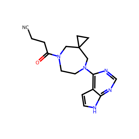 N#CCCC(=O)N1CCN(c2ncnc3[nH]ccc23)CC2(CC2)C1